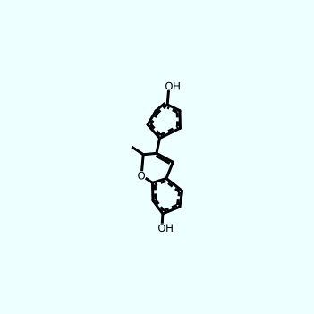 CC1Oc2cc(O)ccc2C=C1c1ccc(O)cc1